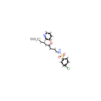 CCOC(=O)CCCC(CCCNS(=O)(=O)c1ccc(Cl)cc1)Oc1cccnc1